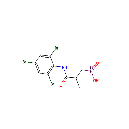 CC(C[PH](=O)O)C(=O)Nc1c(Br)cc(Br)cc1Br